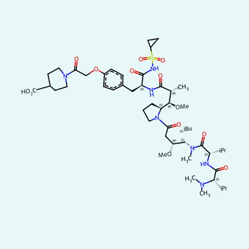 CC[C@H](C)[C@@H]([C@@H](CC(=O)N1CCC[C@H]1[C@H](OC)[C@@H](C)C(=O)N[C@@H](Cc1ccc(OCC(=O)N2CCC(C(=O)O)CC2)cc1)C(=O)NS(=O)(=O)C1CC1)OC)N(C)C(=O)[C@@H](NC(=O)[C@H](C(C)C)N(C)C)C(C)C